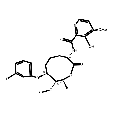 CCCO[C@H]1[C@H](C)OC(=O)[C@@H](NC(=O)c2nccc(OC)c2O)CCC[C@@H]1Oc1cccc(F)c1